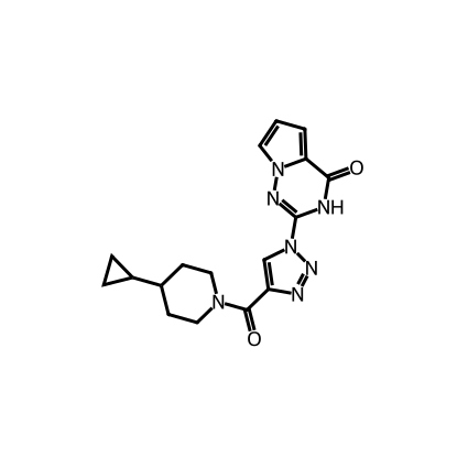 O=C(c1cn(-c2nn3cccc3c(=O)[nH]2)nn1)N1CCC(C2CC2)CC1